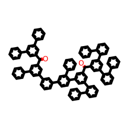 O=C(c1cc(-c2ccccc2)cc(-c2ccccc2)c1)c1cc(-c2ccccc2)cc(-c2cccc(-c3ccc(-c4cc(C(=O)c5cc(-c6ccccc6-c6ccccc6)cc(-c6ccccc6-c6ccccc6)c5)cc(-c5ccccc5-c5ccccc5)c4)c(-c4ccccc4)c3)c2)c1